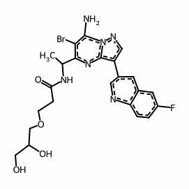 CC(NC(=O)CCOCC(O)CO)c1nc2c(-c3cnc4ccc(F)cc4c3)cnn2c(N)c1Br